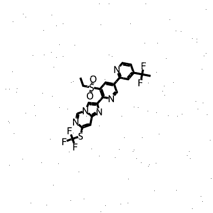 CCS(=O)(=O)c1cc(-c2cc(C(C)(F)F)ccn2)cnc1-c1cn2cnc(SC(F)(F)F)cc2n1